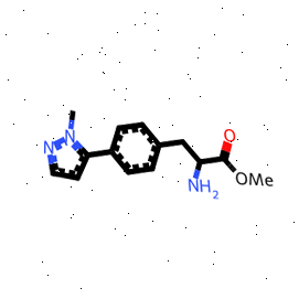 COC(=O)C(N)Cc1ccc(-c2ccnn2C)cc1